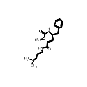 CN(C)CCCNC(=O)C=CC(Cc1ccccc1)NC(=O)OC(C)(C)C